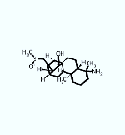 C[S+]([O-])C[C@H]1[C@H]2CC[C@@]3(CC[C@H]4[C@@](C)(CCC[C@@]4(C)N)[C@@H]3C2)[C@@H]1O